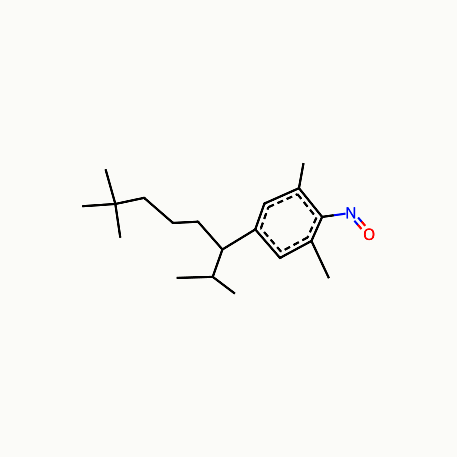 Cc1cc(C(CCCC(C)(C)C)C(C)C)cc(C)c1N=O